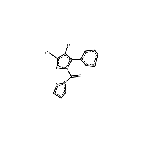 CCCc1nn(C(=O)n2cccn2)c(-c2ccccc2)c1CC